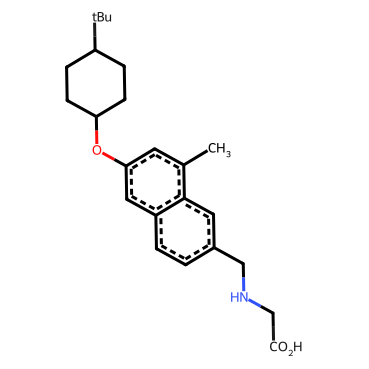 Cc1cc(OC2CCC(C(C)(C)C)CC2)cc2ccc(CNCC(=O)O)cc12